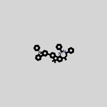 C=C1C/C(c2ccccc2)=N\C(c2ccccc2)=N/c2c1ccc1c2-c2ccc(-c3ccc4c(c3)c3ccccc3n4-c3ccccc3)cc2C1(C)C